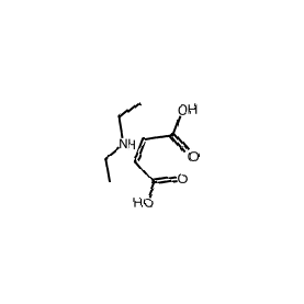 CCNCC.O=C(O)/C=C\C(=O)O